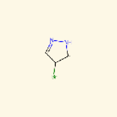 BrC1[CH]NN=C1